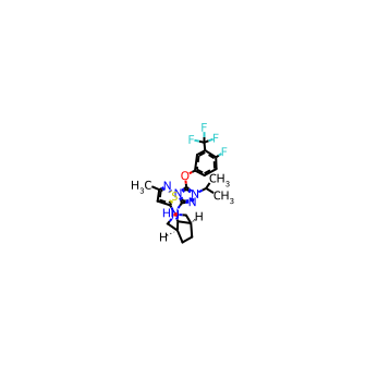 Cc1cc(N2C[C@H]3CC[C@@H](C2)C3Nc2nc(Oc3ccc(F)c(C(F)(F)F)c3)n(C(C)C)n2)sn1